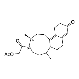 CC(=O)OCC(=O)[C@H]1CCC(C)C2CCC3=CC(=O)CCC3=C2CC[C@@H]1C